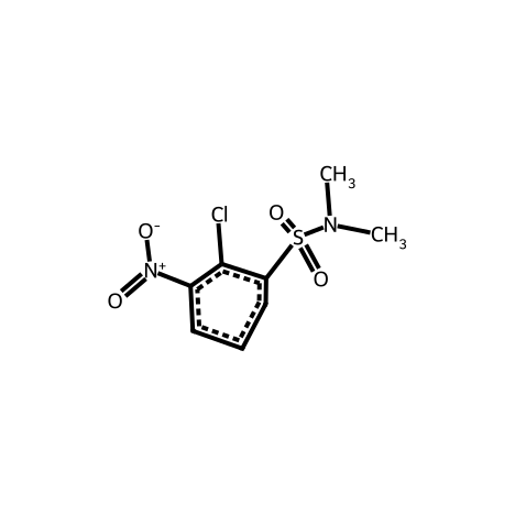 CN(C)S(=O)(=O)c1cccc([N+](=O)[O-])c1Cl